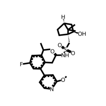 COc1cc(-c2cc(F)cc(C(C)C)c2CC(=O)NS(=O)(=O)C[C@@]23CC[C@@H](C[C@H]2O)C3(C)C)ccn1